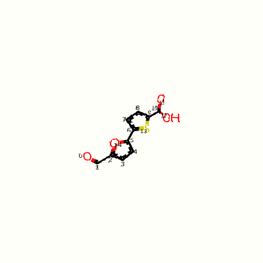 O=Cc1ccc(-c2ccc(C(=O)O)s2)o1